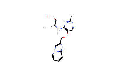 CCC[C@@H](CO)Nc1nc(C)ncc1OCc1cn2ccccc2n1